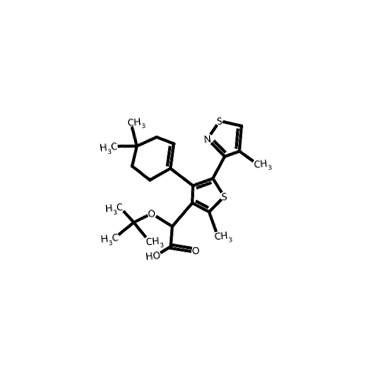 Cc1csnc1-c1sc(C)c(C(OC(C)(C)C)C(=O)O)c1C1=CCC(C)(C)CC1